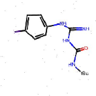 CC(C)(C)NC(=O)NC(=N)Nc1ccc(I)cc1